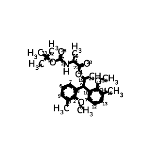 COc1c(C)cccc1C(c1cccc(C)c1OC)C(C)OC(=O)[C@H](C)NC(=O)OC(C)(C)C